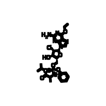 CCOc1nc(N)nc2c1ncn2[C@@H]1O[C@H](COP(=S)(NC(C)C(=O)OC(C)C)Oc2ccccc2)[C@@H](O)[C@H]1Cl